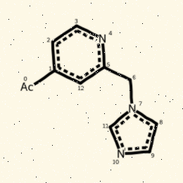 CC(=O)c1ccnc(Cn2ccnc2)c1